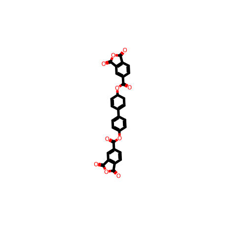 O=C(Oc1ccc(C2=CCC(OC(=O)c3ccc4c(c3)C(=O)OC4=O)C=C2)cc1)c1ccc2c(c1)C(=O)OC2=O